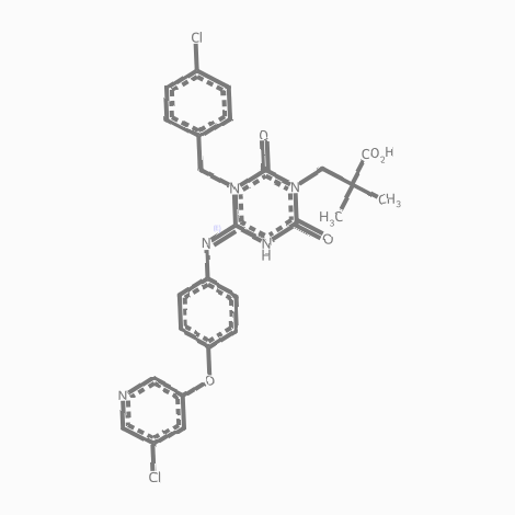 CC(C)(Cn1c(=O)[nH]/c(=N\c2ccc(Oc3cncc(Cl)c3)cc2)n(Cc2ccc(Cl)cc2)c1=O)C(=O)O